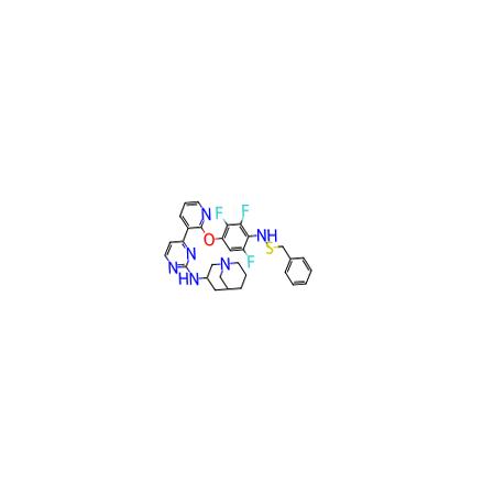 Fc1cc(Oc2ncccc2-c2ccnc(NC3CC4CCCN(C4)C3)n2)c(F)c(F)c1NSCc1ccccc1